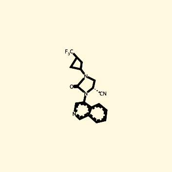 N#C[C@H]1CN(C2CC(C(F)(F)F)C2)C(=O)N1c1cncc2ccccc12